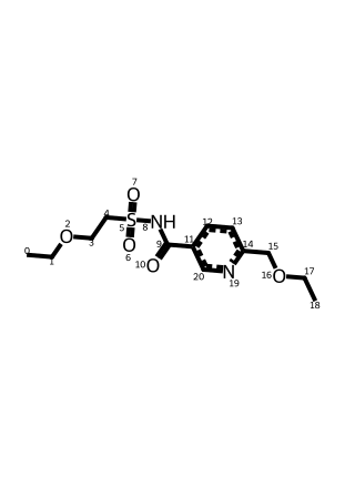 CCOCCS(=O)(=O)NC(=O)c1ccc(COCC)nc1